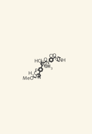 COCCn1ncc(-c2ccc(-c3cnc(C(=O)Nc4ccc(C(=O)N5CCNCC5)c(Cl)c4)n3C)cc2F)c1C.Cl